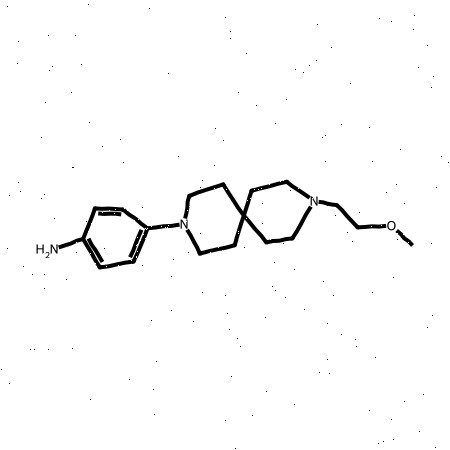 COCCN1CCC2(CC1)CCN(c1ccc(N)cc1)CC2